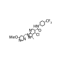 COc1cc(Cn2nc(C)c3c(Cl)c(C(=O)Nc4ccc(C(F)(F)F)cc4)cnc32)ncn1